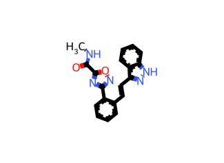 CNC(=O)c1nc(-c2ccccc2C=Cc2n[nH]c3ccccc23)no1